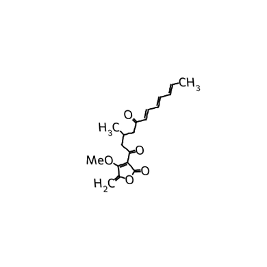 C=C1OC(=O)C(C(=O)CC(C)CC(=O)C=CC=CC=CC)=C1OC